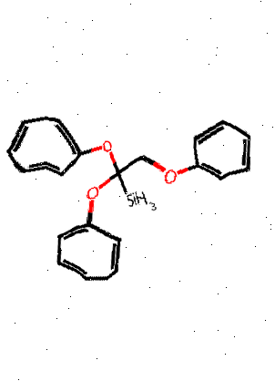 [SiH3]C(COc1ccccc1)(Oc1ccccc1)Oc1ccccc1